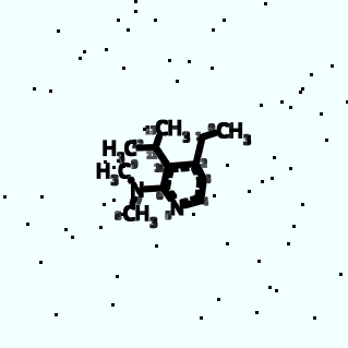 CCc1ccnc(N(C)C)c1C(C)C